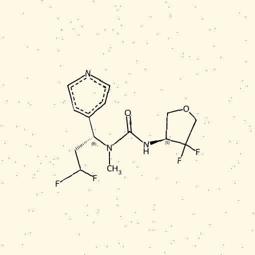 CN(C(=O)N[C@H]1COCC1(F)F)[C@H](CC(F)F)c1ccncc1